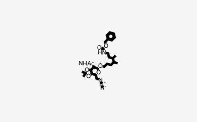 CC(=O)NC1C(OCCCC(C)C(C)CCNC(=O)OCc2ccccc2)OC(CN=[N+]=[N-])C2OC(C)(C)OC12